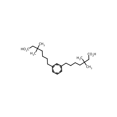 CC(C)(CCCCc1cccc(CCCCC(C)(C)CC(=O)O)c1)CC(=O)O